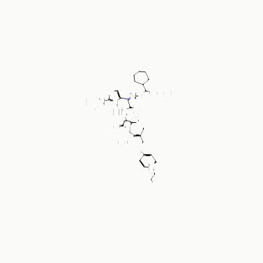 Nc1nc(/C(=N/OC(C(=O)O)C2CCCCC2)C(=O)N[C@@H]2C(=O)N3C(C(=O)[O-])=C(CSc4cc[n+](CCF)cc4)CS[C@H]23)cs1